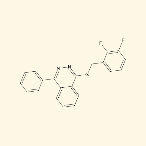 Fc1cccc(CSc2nnc(-c3ccccc3)c3ccccc23)c1F